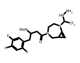 CNC(CC(=O)N1CCN(C(NN)C(F)(F)F)C2=CC2C1)Cc1cc(F)c(F)cc1F